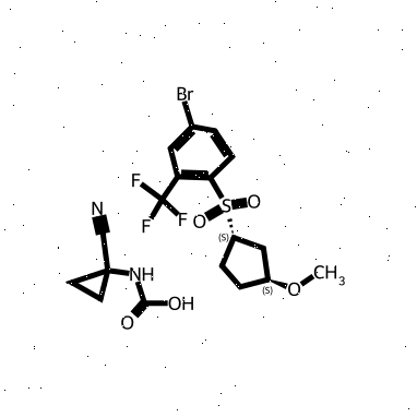 CO[C@H]1CC[C@H](S(=O)(=O)c2ccc(Br)cc2C(F)(F)F)C1.N#CC1(NC(=O)O)CC1